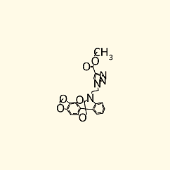 CCOC(=O)c1cn(CCN2C(=O)C3(COc4cc5c(cc43)OCO5)c3ccccc32)nn1